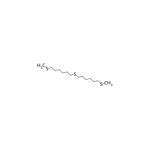 CSCCCCCCSCCCCCCSC